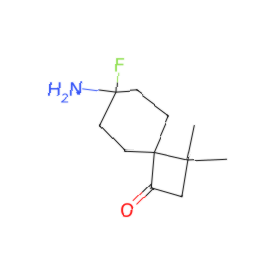 CC1(C)CC(=O)C12CCC(N)(F)CC2